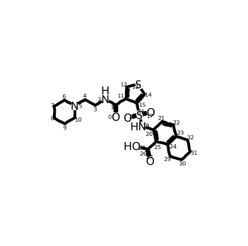 O=C(NCCN1CCCCC1)c1cscc1S(=O)(=O)Nc1ccc2c(c1C(=O)O)CCCC2